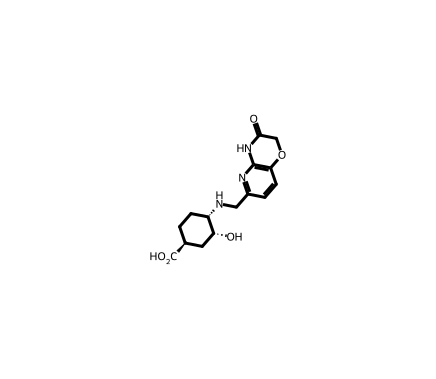 O=C1COc2ccc(CN[C@H]3CC[C@H](C(=O)O)C[C@H]3O)nc2N1